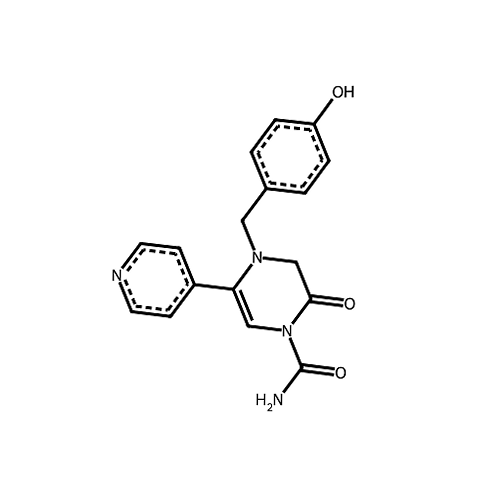 NC(=O)N1C=C(c2ccncc2)N(Cc2ccc(O)cc2)CC1=O